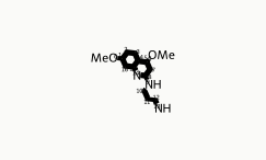 COc1ccc2c(OC)cc(N/C=C\C=N)nc2c1